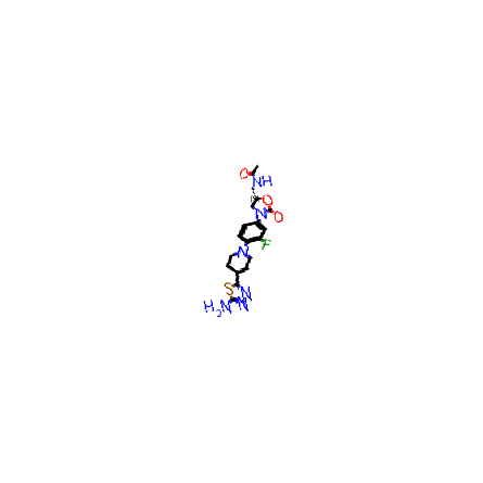 CC(=O)NC[C@H]1CN(c2ccc(N3CCC(c4nnc(N)s4)CC3)c(F)c2)C(=O)O1